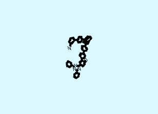 N#Cc1cccc(-c2ccc(C34CC5CC(C3)CC(c3ccc(-c6ccc7c(c6)oc6ccc(-c8nc(-c9ccccc9)nc(-c9ccccc9)n8)cc67)cc3)(C5)C4)cc2)c1